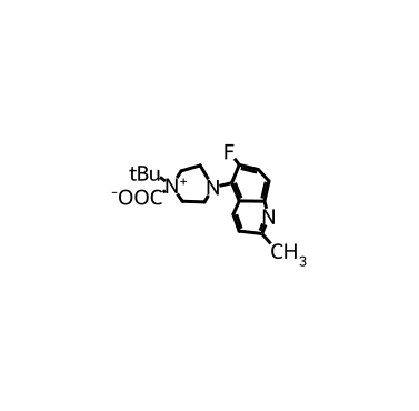 Cc1ccc2c(N3CC[N+](C(=O)[O-])(C(C)(C)C)CC3)c(F)ccc2n1